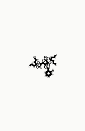 CCCC1(CCC)O[C@H]2O[C@H]([C@H]3COC(CCC)(CCC)O3)[C@H](OCc3ccccc3F)[C@H]2O1